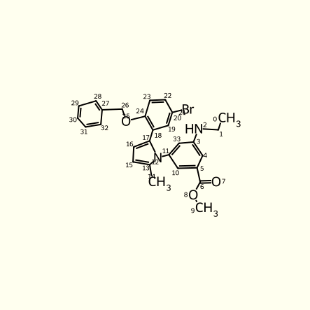 CCNc1cc(C(=O)OC)cc(-n2c(C)ccc2-c2cc(Br)ccc2OCc2ccccc2)c1